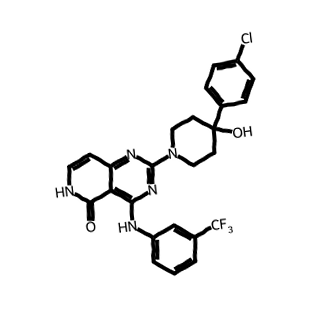 O=c1[nH]ccc2nc(N3CCC(O)(c4ccc(Cl)cc4)CC3)nc(Nc3cccc(C(F)(F)F)c3)c12